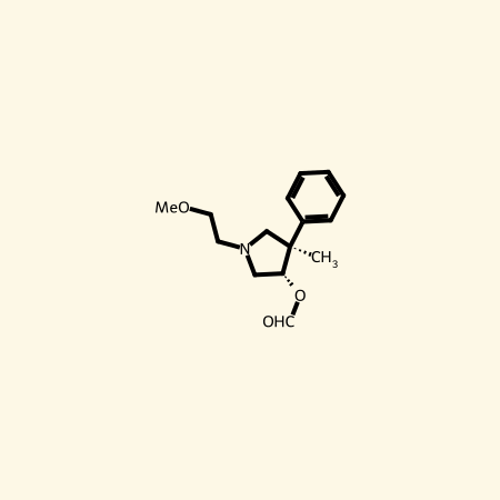 COCCN1C[C@@H](OC=O)[C@](C)(c2ccccc2)C1